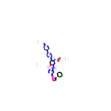 C=CC(=O)Nc1cc(Nc2cc(N3OCC[C@@H]3c3cccc(Cl)c3Cl)ncn2)c(OC)cc1N1CCN(C2CCN(C)CC2)CC1